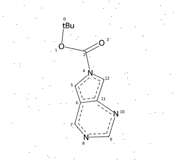 CC(C)(C)OC(=O)n1cc2cncnc2c1